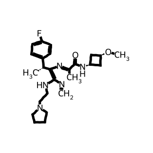 C=N/C(NCCN1CCCC1)=C(\N=C(/C)C(=O)N[C@H]1C[C@@H](OC)C1)[C@H](C)c1ccc(F)cc1